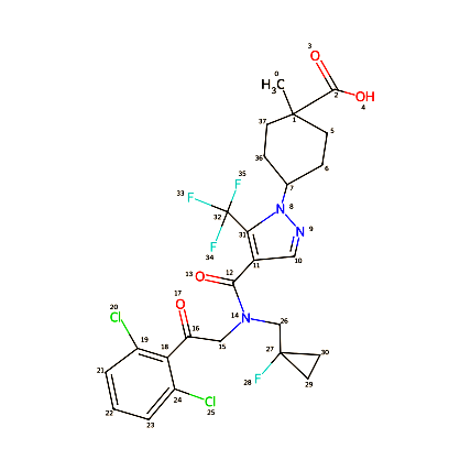 CC1(C(=O)O)CCC(n2ncc(C(=O)N(CC(=O)c3c(Cl)cccc3Cl)CC3(F)CC3)c2C(F)(F)F)CC1